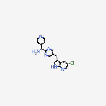 NC(c1ccncc1)c1ncc(Cc2c[nH]c3ncc(Cl)cc23)cn1